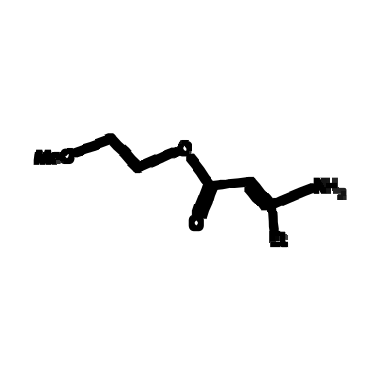 CC/C(N)=C\C(=O)OCCOC